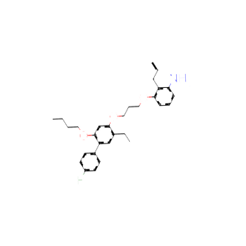 C=CCc1c(N)cccc1OCCCOc1cc(OCCCC)c(-c2ccc(F)cc2)cc1CC